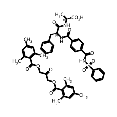 C[C@H](NC(=O)[C@H](Cc1ccccc1)NC(=O)c1ccc(C(=O)NS(=O)(=O)c2ccccc2)cc1)C(=O)O.Cc1cc(C)c(C(=O)OCC(=O)COC(=O)c2c(C)cc(C)cc2C)c(C)c1